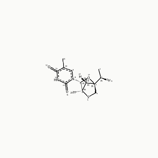 [2H][C@H](C)[C@@]12CS[C@@H]([C@H](n3cc(C)c(=O)[nH]c3=O)O1)[C@@H]2C